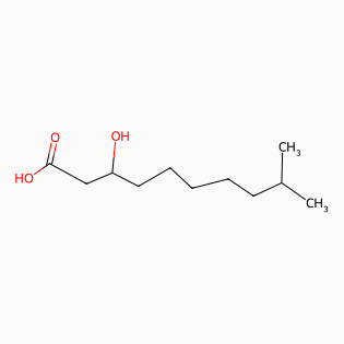 CC(C)CCCCCC(O)CC(=O)O